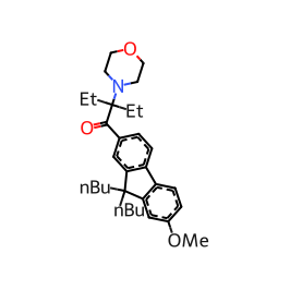 CCCCC1(CCCC)c2cc(OC)ccc2-c2ccc(C(=O)C(CC)(CC)N3CCOCC3)cc21